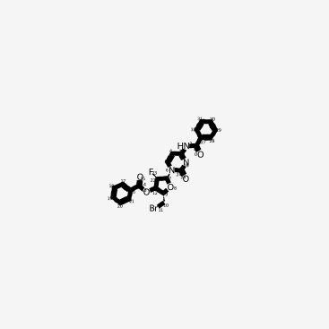 O=C(Nc1ccn([C@@H]2O[C@H](CBr)C(OC(=O)c3ccccc3)[C@@H]2F)c(=O)n1)c1ccccc1